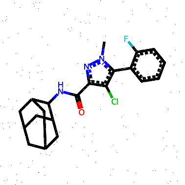 Cn1nc(C(=O)NC2C3CC4CC(C3)CC2C4)c(Cl)c1-c1ccccc1F